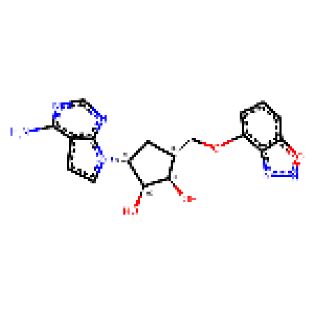 Nc1ncnc2c1ccn2[C@@H]1C[C@H](COc2cccc3onnc23)[C@@H](O)[C@H]1O